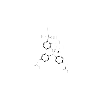 CC(N)(O)c1cccc(N(C(c2ccc(OC(F)F)cc2)c2ccc(OC(F)F)cc2)S(C)(=O)=O)c1O